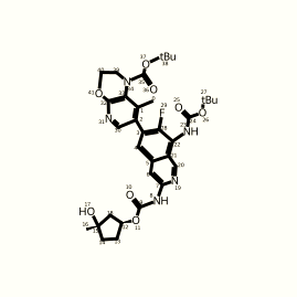 Cc1c(-c2cc3cc(NC(=O)O[C@H]4CC[C@](C)(O)C4)ncc3c(NC(=O)OC(C)(C)C)c2F)cnc2c1N(C(=O)OC(C)(C)C)CCO2